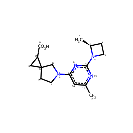 C[C@H]1CCN1c1nc(N2CCC3(CC3C(=O)O)C2)cc(C(F)(F)F)n1